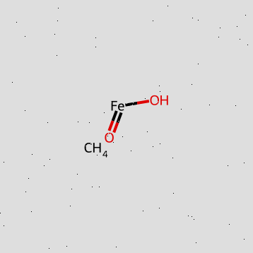 C.[O]=[Fe][OH]